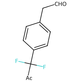 CC(=O)C(F)(F)c1ccc(CC=O)cc1